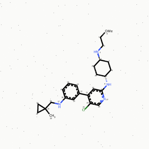 COCCN[C@H]1CC[C@H](Nc2cc(-c3cccc(NCC4(C)CC4)c3)c(Cl)cn2)CC1